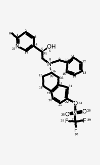 Cc1ccc([C@@H](O)CN(Cc2ccccc2)[C@H]2CCc3ccc(OS(=O)(=O)C(F)(F)F)cc3C2)cn1